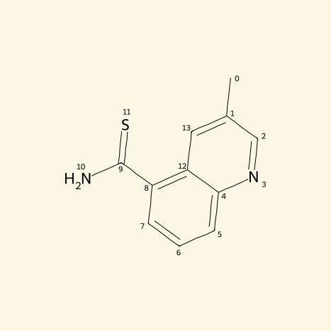 Cc1cnc2cccc(C(N)=S)c2c1